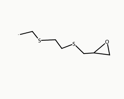 [CH2]CSCCSCC1CO1